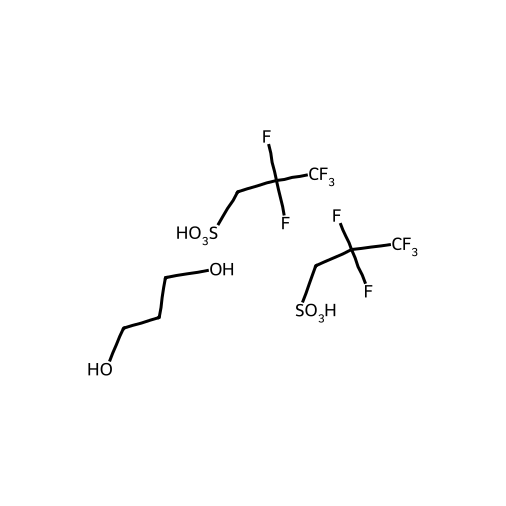 O=S(=O)(O)CC(F)(F)C(F)(F)F.O=S(=O)(O)CC(F)(F)C(F)(F)F.OCCCO